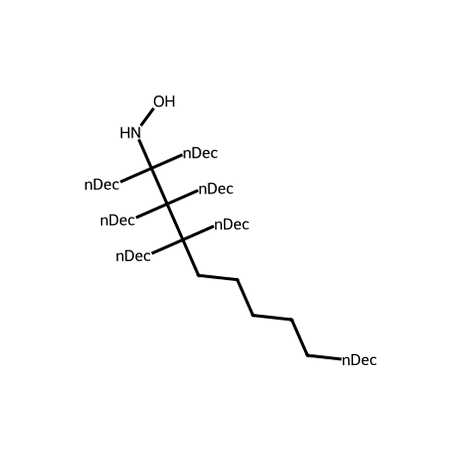 CCCCCCCCCCCCCCCC(CCCCCCCCCC)(CCCCCCCCCC)C(CCCCCCCCCC)(CCCCCCCCCC)C(CCCCCCCCCC)(CCCCCCCCCC)NO